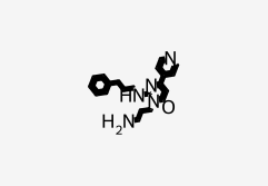 NCCCn1c(NCCCc2ccccc2)nc(-c2ccncc2)cc1=O